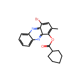 Cc1cc(Br)c2nc3ccccc3nc2c1OC(=O)C1CCCCC1